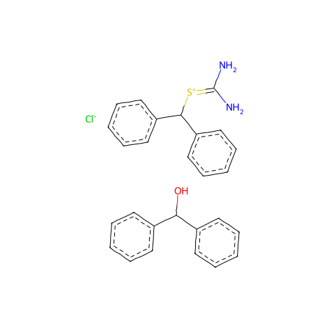 NC(N)=[S+]C(c1ccccc1)c1ccccc1.OC(c1ccccc1)c1ccccc1.[Cl-]